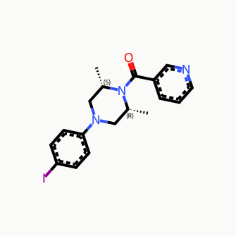 C[C@@H]1CN(c2ccc(I)cc2)C[C@H](C)N1C(=O)c1cccnc1